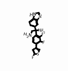 NCC(N)(c1ccc2[nH]cnc2c1)c1ccc(-c2csc(F)c2)c(F)c1F